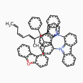 C=C/C=C\C=C(/C)[Si](c1ccccc1)(c1ccccc1)c1cccc(-n2c3ccccc3c3cccc(-n4c5ccccc5c5ccc(-c6cccc7oc8ccccc8c67)cc54)c32)c1